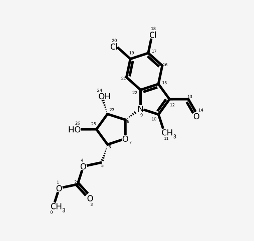 COC(=O)OC[C@H]1O[C@@H](n2c(C)c(C=O)c3cc(Cl)c(Cl)cc32)[C@@H](O)C1O